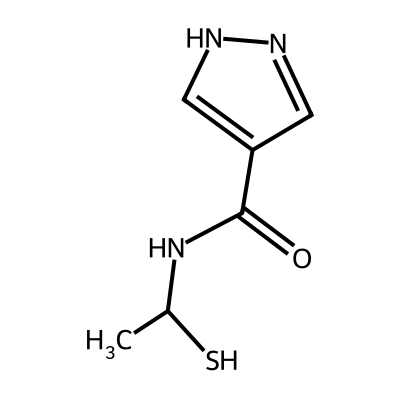 CC(S)NC(=O)c1cn[nH]c1